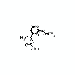 C[C@@H](N[S+]([O-])C(C)(C)C)c1ccnc(OCC(F)(F)F)c1